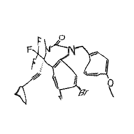 COc1ccc(CN2C(=O)N(C)[C@](C#CC3CC3)(C(F)(F)F)c3cc(F)c(Br)cc32)cc1